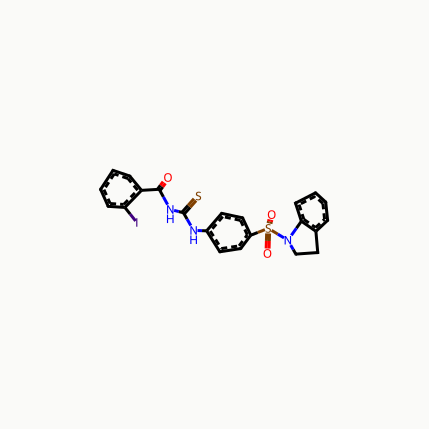 O=C(NC(=S)Nc1ccc(S(=O)(=O)N2CCc3ccccc32)cc1)c1ccccc1I